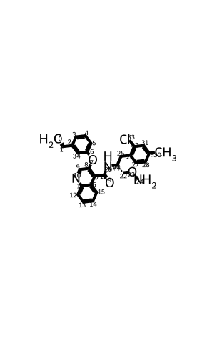 C=Cc1cccc(Oc2cnc3ccccc3c2C(=O)N[C@@H](CON)Cc2ccc(C)cc2Cl)c1